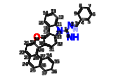 N=C(/N=C/c1ccccc1)n1c2ccccc2c2c3oc4ccc5ccc6c(c5c4c3ccc21)C=CCC6